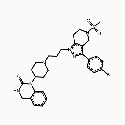 CS(=O)(=O)N1CCc2c(c(-c3ccc(Br)cc3)nn2CCCN2CCC(N3C(=O)NCc4ccccc43)CC2)C1